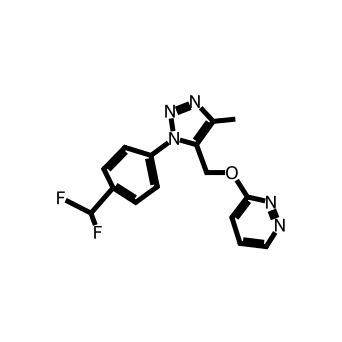 Cc1nnn(-c2ccc(C(F)F)cc2)c1COc1cccnn1